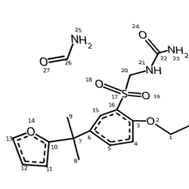 CCOc1ccc(C(C)(C)c2ccco2)cc1S(=O)(=O)CNC(N)=O.NC=O